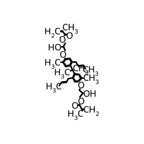 C=C(C)C(=O)OCC(O)COc1cc(CC=CC)c(C(C)(C)c2cc(C)c(OCC(O)COC(=O)C(=C)C)cc2CC=CC)cc1C